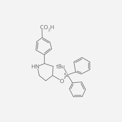 CC(C)(C)[Si](OC1CCNC(c2ccc(C(=O)O)cc2)C1)(c1ccccc1)c1ccccc1